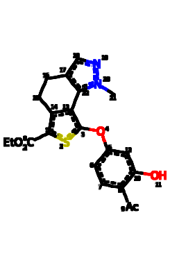 CCOC(=O)c1sc(Oc2ccc(C(C)=O)c(O)c2)c2c1CCc1cnn(C)c1-2